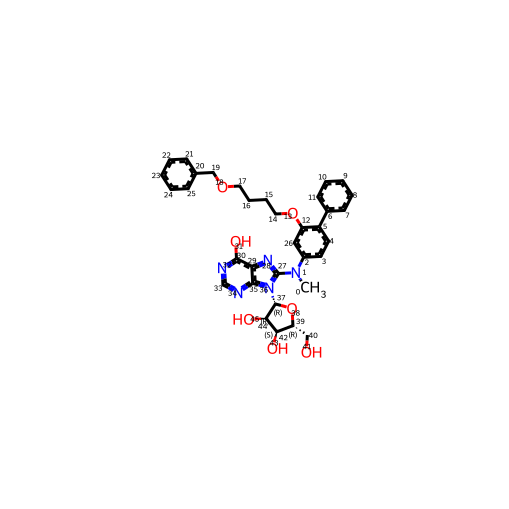 CN(c1ccc(-c2ccccc2)c(OCCCCOCc2ccccc2)c1)c1nc2c(O)ncnc2n1[C@@H]1O[C@H](CO)[C@@H](O)[C@H]1O